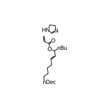 C1=NCCN1.C=CC(=O)OC(/C=C/CCCCCCCCCCCCCC)CCCC